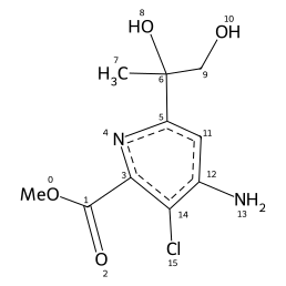 COC(=O)c1nc(C(C)(O)CO)cc(N)c1Cl